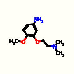 COc1ccc(N)cc1OCCN(C)C